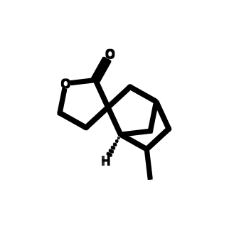 CC1CC2C[C@@H]1C1(CCOC1=O)C2